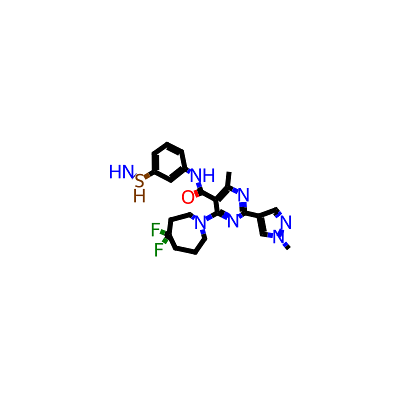 Cc1nc(-c2cnn(C)c2)nc(N2CCCC(F)(F)CC2)c1C(=O)Nc1cccc([SH]=N)c1